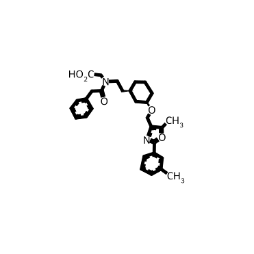 Cc1cccc(-c2nc(CO[C@@H]3CCC[C@H](CCN(CC(=O)O)C(=O)Cc4ccccc4)C3)c(C)o2)c1